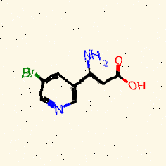 N[C@@H](CC(=O)O)c1cncc(Br)c1